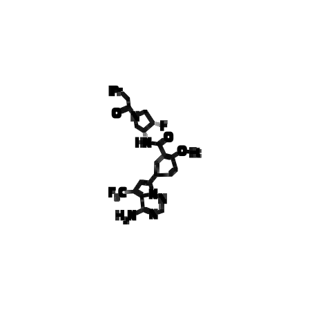 CCOc1ccc(-c2cc(C(F)(F)F)c3c(N)ncnn23)cc1C(=O)N[C@@H]1CN(C(=O)CC(C)C)C[C@@H]1F